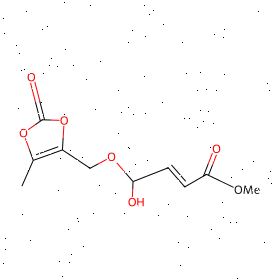 COC(=O)/C=C/C(O)OCc1oc(=O)oc1C